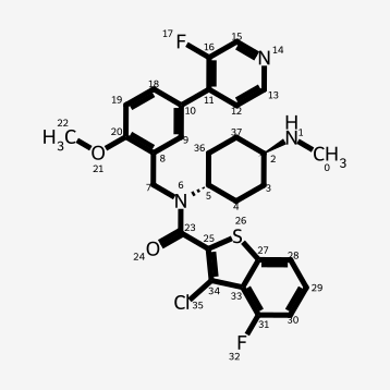 CN[C@H]1CC[C@H](N(Cc2cc(-c3ccncc3F)ccc2OC)C(=O)c2sc3cccc(F)c3c2Cl)CC1